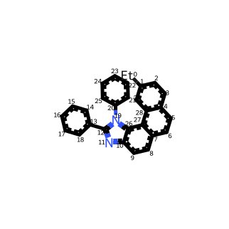 CCc1ccc2ccc3ccc4nc(-c5ccccc5)n(-c5ccccc5)c4c3c2c1